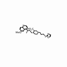 COc1ccc2nccc([C@H](F)CC[C@@H]3CCN(CCCSc4ncco4)C[C@@H]3C(=O)O)c2c1